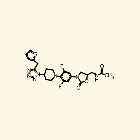 CC(=O)NCC1CN(c2cc(F)c(N3CCC(n4nnnc4Cc4cccs4)CC3)c(F)c2)C(=O)O1